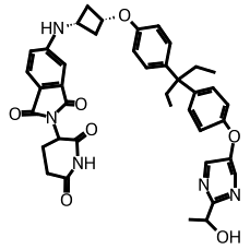 CCC(CC)(c1ccc(Oc2cnc(C(C)O)nc2)cc1)c1ccc(O[C@H]2C[C@@H](Nc3ccc4c(c3)C(=O)N(C3CCC(=O)NC3=O)C4=O)C2)cc1